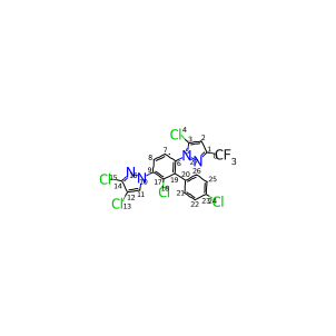 FC(F)(F)c1cc(Cl)n(-c2[c]cc(-n3cc(Cl)c(Cl)n3)c(Cl)c2-c2ccc(Cl)cc2)n1